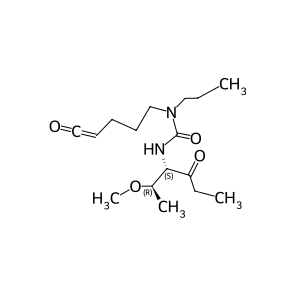 CCCN(CCCC=C=O)C(=O)N[C@H](C(=O)CC)[C@@H](C)OC